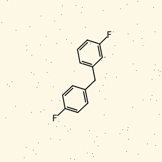 Fc1[c]c(Cc2ccc(F)cc2)ccc1